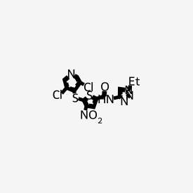 CCn1cc(NC(=O)c2cc([N+](=O)[O-])c(Sc3c(Cl)cncc3Cl)s2)nn1